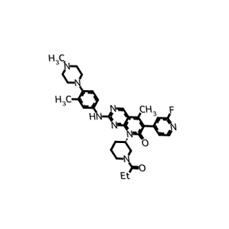 CCC(=O)N1CCC[C@H](n2c(=O)c(-c3ccnc(F)c3)c(C)c3cnc(Nc4ccc(N5CCN(C)CC5)c(C)c4)nc32)C1